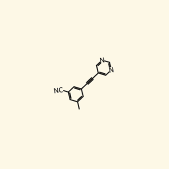 Cc1cc(C#N)cc(C#Cc2cncnc2)c1